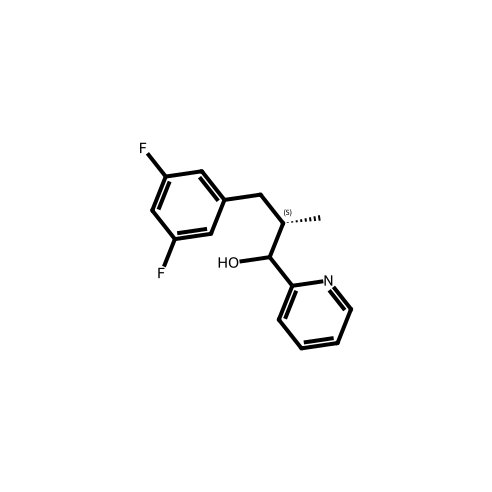 C[C@@H](Cc1cc(F)cc(F)c1)C(O)c1ccccn1